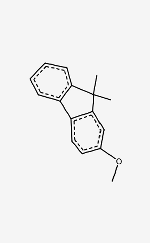 COc1ccc2c(c1)C(C)(C)c1ccccc1-2